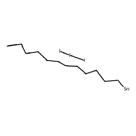 CCCCCCCCCCC[CH2][Sn].I[I-]I